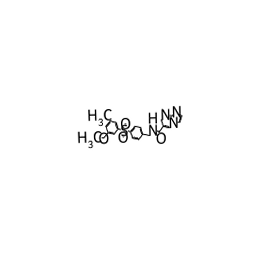 COc1cc(C)cc(S(=O)(=O)c2ccc(CNC(=O)c3cnc4nccn4c3)cc2)c1